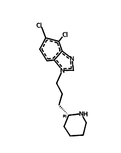 Clc1ccc2c(ncn2CCC[C@H]2CCCCN2)c1Cl